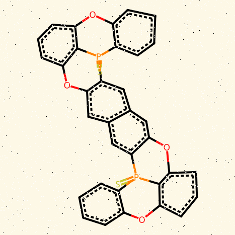 S=P12c3ccccc3Oc3cccc(c31)Oc1cc3cc4c(cc3cc12)Oc1cccc2c1P4(=S)c1ccccc1O2